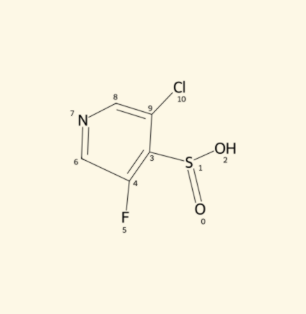 O=S(O)c1c(F)cncc1Cl